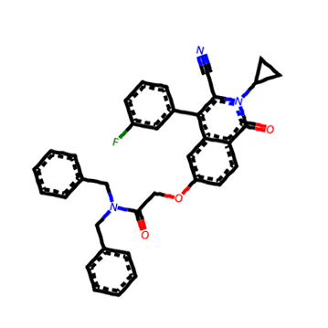 N#Cc1c(-c2cccc(F)c2)c2cc(OCC(=O)N(Cc3ccccc3)Cc3ccccc3)ccc2c(=O)n1C1CC1